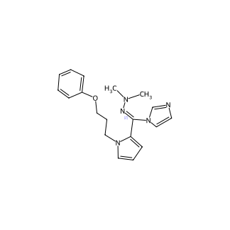 CN(C)/N=C(/c1cccn1CCCOc1ccccc1)n1ccnc1